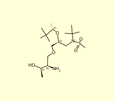 C[C@H](O[C@H](COC[C@@H](N)[C@@H](C)O)CN(C(C)(C)C)S(C)(=O)=O)C(C)(C)C